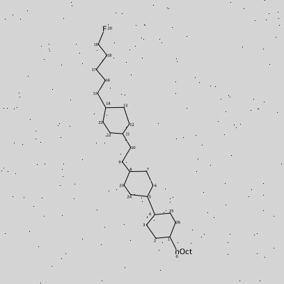 CCCCCCCCC1CCC(C2CCC(CCC3CCC(CCCCCF)CC3)CC2)CC1